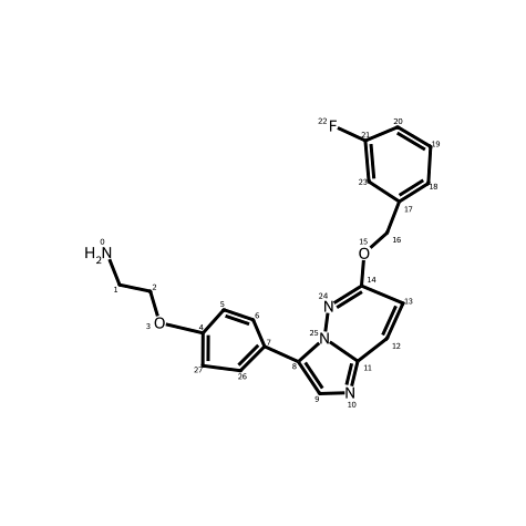 NCCOc1ccc(-c2cnc3ccc(OCc4cccc(F)c4)nn23)cc1